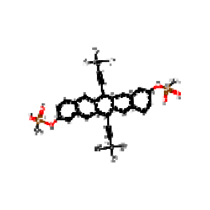 CC(C)[Si](C#Cc1c2cc3ccc(OS(=O)(=O)C(F)(F)F)cc3cc2c(C#C[Si](C(C)C)(C(C)C)C(C)C)c2cc3ccc(OS(=O)(=O)C(F)(F)F)cc3cc12)(C(C)C)C(C)C